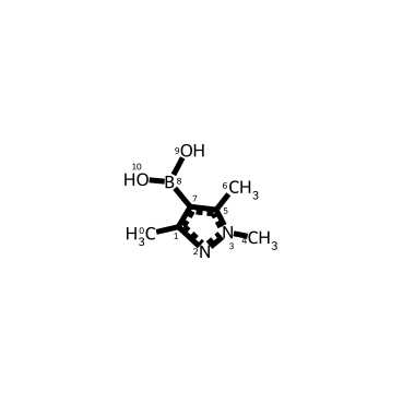 Cc1nn(C)c(C)c1B(O)O